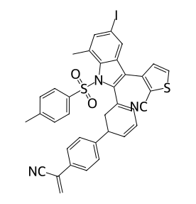 C=C(C#N)c1ccc(C2C=CC=C(c3c(-c4ccsc4C#N)c4cc(I)cc(C)c4n3S(=O)(=O)c3ccc(C)cc3)C2)cc1